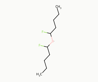 CCCCC(F)[B]C(F)CCCC